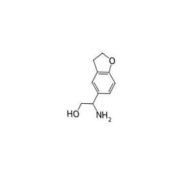 NC(CO)c1ccc2c(c1)CCO2